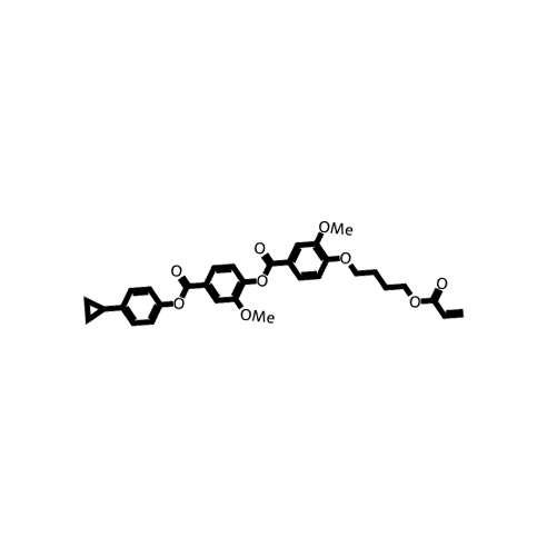 C=CC(=O)OCCCCOc1ccc(C(=O)Oc2ccc(C(=O)Oc3ccc(C4CC4)cc3)cc2OC)cc1OC